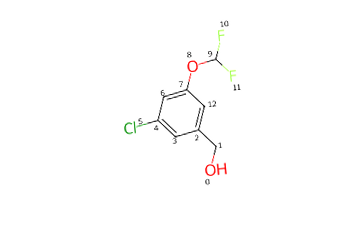 OCc1cc(Cl)cc(OC(F)F)c1